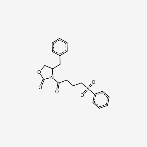 O=C(CCCS(=O)(=O)c1ccccc1)N1C(=O)OCC1Cc1ccccc1